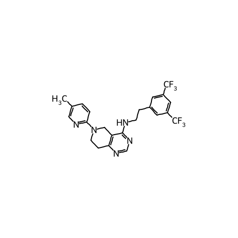 Cc1ccc(N2CCc3ncnc(NCCc4cc(C(F)(F)F)cc(C(F)(F)F)c4)c3C2)nc1